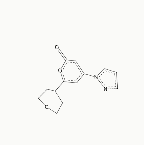 O=c1cc(-n2cccn2)cc(C2CCCCC2)o1